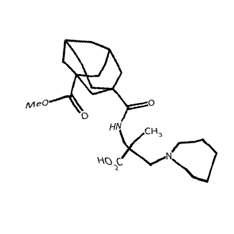 COC(=O)C12CC3CC(CC(C(=O)NC(C)(CN4CCCCC4)C(=O)O)(C3)C1)C2